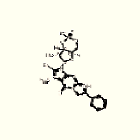 O.O=c1c2nc(Br)n([C@@H]3O[C@@H]4COP([O-])(=S)O[C@H]4[C@H]3O)c2nc2[nH]c(-c3ccccc3)cn12.[Na+]